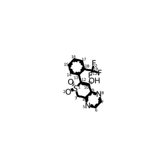 O=S1(=O)Cc2nccnc2C(O)=C1c1ccccc1C(F)(F)F